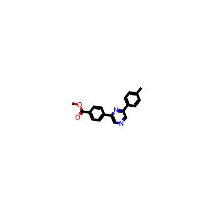 COC(=O)c1ccc(-c2cncc(-c3ccc(C)cc3)n2)cc1